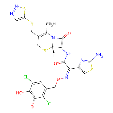 Nc1nc(/C(=N/OCc2cc(Cl)c(O)c(O)c2Cl)C(=O)NC2C(=O)N3C(C(=O)O)=C(CSc4cnns4)CS[C@@H]23)cs1